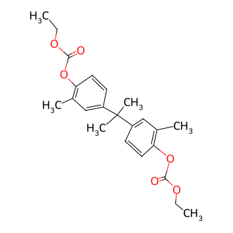 CCOC(=O)Oc1ccc(C(C)(C)c2ccc(OC(=O)OCC)c(C)c2)cc1C